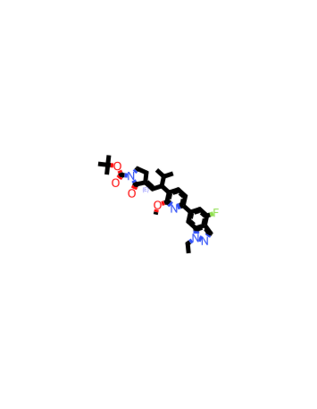 CCn1ncc2c(F)cc(-c3ccc(C(/C=C4\CCN(C(=O)OC(C)(C)C)C4=O)C(C)C)c(OC)n3)cc21